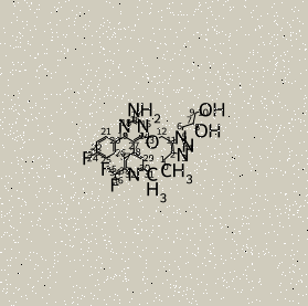 CCc1nnn(C[C@@H](O)CO)c1COc1nc(N)nc(-c2ccc(F)cc2)c1-c1cc(C)nc(C(F)F)c1